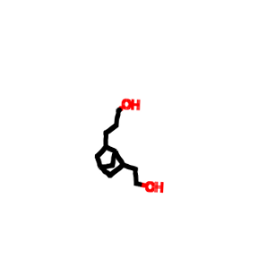 OCCCC1CC2CC(CCO)C1C2